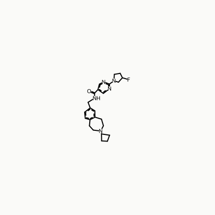 O=C(NCc1ccc2c(c1)CCN(C1CCC1)CC2)c1cnc(N2CCC(F)C2)nc1